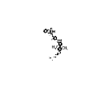 CCOCCOc1cc(C)c(-c2cccc(CNc3ccc(CCC(=O)NS(=O)(=O)Cc4ccccc4)c(F)c3)c2)c(C)c1